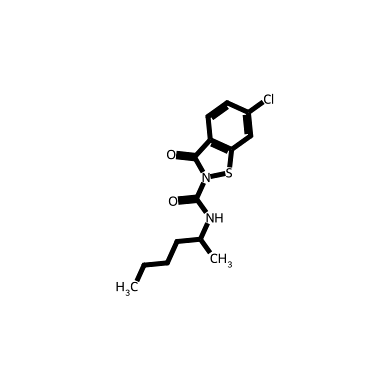 CCCCC(C)NC(=O)n1sc2cc(Cl)ccc2c1=O